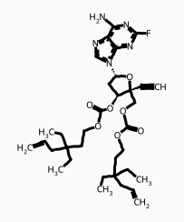 C#C[C@]1(COC(=O)OCCC(CC)(CC)CC=C)O[C@@H](n2cnc3c(N)nc(F)nc32)C[C@@H]1OC(=O)OCCC(CC)(CC)CC=C